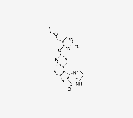 CCOCc1cnc(Cl)nc1Oc1ccc2c(ccc3sc4c(c32)N2CCC(C2)NC4=O)n1